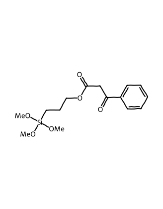 CO[Si](CCCOC(=O)CC(=O)c1ccccc1)(OC)OC